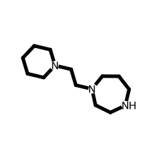 C1CCN(CCN2CCCNCC2)CC1